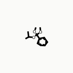 COC(OC)(O[C](C)C)c1ccccc1